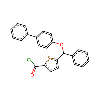 O=C(Cl)c1ccc(C(Oc2ccc(-c3ccccc3)cc2)c2ccccc2)s1